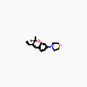 C=CC1=Cc2ccc(N3CCOCC3)cc2OC1(C)C